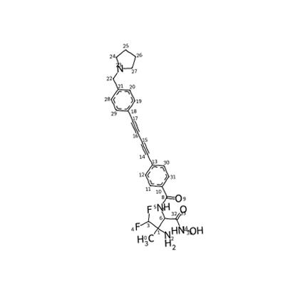 CC(N)(C(F)F)C(NC(=O)c1ccc(C#CC#Cc2ccc(CN3CCCC3)cc2)cc1)C(=O)NO